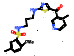 COc1ccc(C)cc1S(=O)(=O)NCCCNc1ncc(C(=O)c2cnccc2C)s1